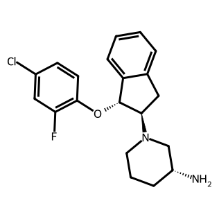 N[C@@H]1CCCN([C@@H]2Cc3ccccc3[C@H]2Oc2ccc(Cl)cc2F)C1